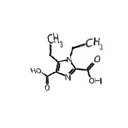 CCc1c(C(=O)O)nc(C(=O)O)n1CC